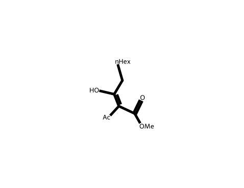 CCCCCCC/C(O)=C(/C(C)=O)C(=O)OC